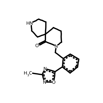 Cc1noc(-c2ccccc2CN2CCCC3(CCNCC3)C2=O)n1